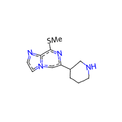 CSc1nc(C2CCCNC2)cn2ccnc12